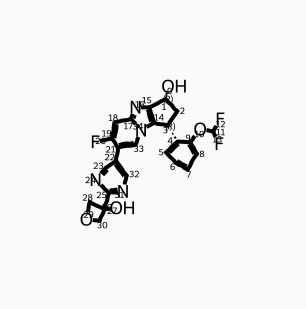 O[C@@H]1C[C@H](c2ccccc2OC(F)F)c2c1nc1cc(F)c(-c3cnc(C4(O)COC4)nc3)cn21